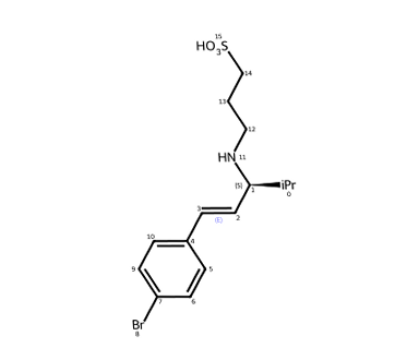 CC(C)[C@@H](/C=C/c1ccc(Br)cc1)NCCCS(=O)(=O)O